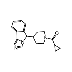 O=C(C1CC1)N1CCC(C2c3ccccc3-c3cncn32)CC1